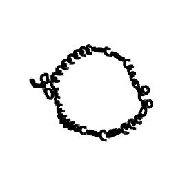 CCC(=O)OC1CCCCCCCC/C=C\C/C=C\CCCOC(=O)CC(=O)OCCC/C=C\C/C=C\CCCCCCCC1